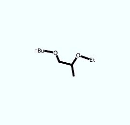 CCCCOCC(C)OCC